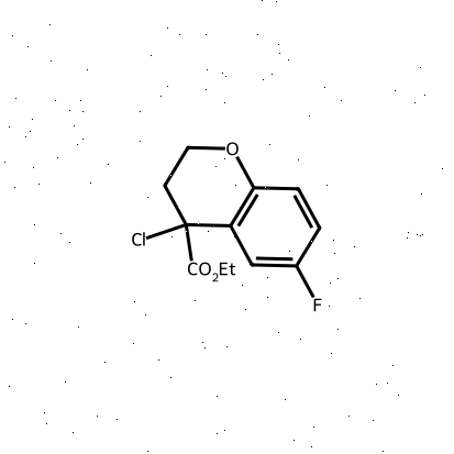 CCOC(=O)C1(Cl)CCOc2ccc(F)cc21